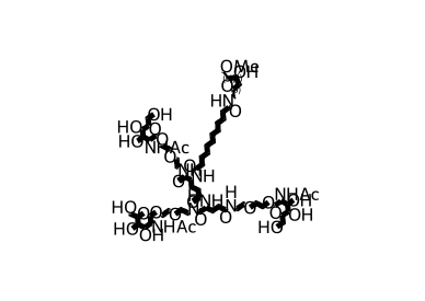 COC[C@@H]1O[C@H](CNC(=O)CCCCCCCCCCC(=O)NC(CCC(=O)NC(CCC(=O)NCCOCCOC2OC(CO)C(O)C(O)C2NC(C)=O)C(=O)NCCOCCOC2OC(CO)C(O)C(O)C2NC(C)=O)C(=O)NCCOCCOC2OC(CO)C(O)C(O)C2NC(C)=O)C[C@H]1O